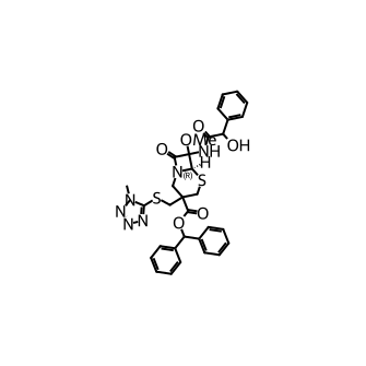 COC1(NC(=O)C(O)c2ccccc2)C(=O)N2CC(CSc3nnnn3C)(C(=O)OC(c3ccccc3)c3ccccc3)CS[C@@H]21